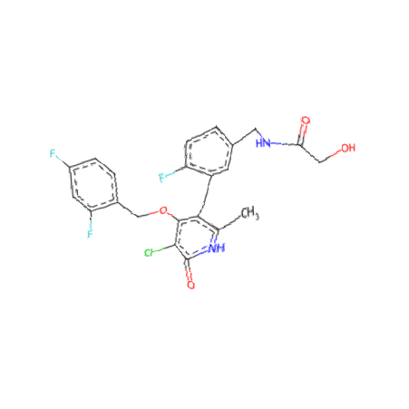 Cc1[nH]c(=O)c(Cl)c(OCc2ccc(F)cc2F)c1-c1cc(CNC(=O)CO)ccc1F